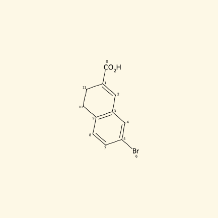 O=C(O)C1=Cc2cc(Br)ccc2CC1